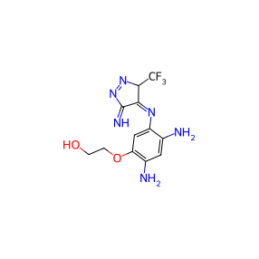 N=C1N=NC(C(F)(F)F)C1=Nc1cc(OCCO)c(N)cc1N